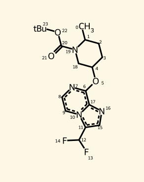 CC1CCC(Oc2nccn3c(C(F)F)cnc23)CN1C(=O)OC(C)(C)C